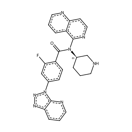 O=C(c1ccc(-n2nnc3cccnc32)cc1F)N(c1nccc2ncccc12)[C@@H]1CCCNC1